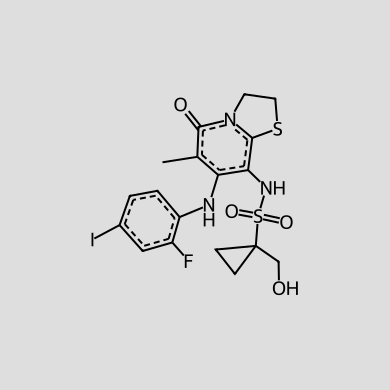 Cc1c(Nc2ccc(I)cc2F)c(NS(=O)(=O)C2(CO)CC2)c2n(c1=O)CCS2